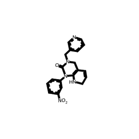 O=C1N(Cc2cccnc2)CC2=C(NCC=C2)N1c1cccc([N+](=O)[O-])c1